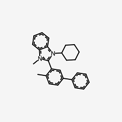 Cc1ccc(-c2ccccc2)cc1-c1n(C2CCCCC2)c2ccccc2[n+]1C